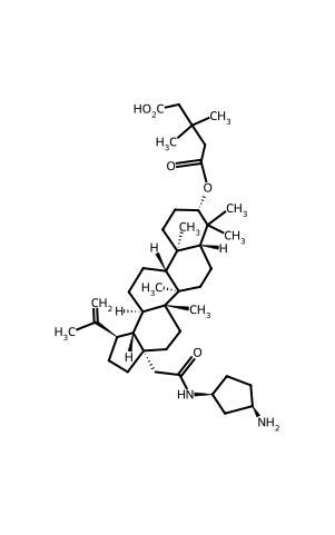 C=C(C)[C@@H]1CC[C@]2(CC(=O)N[C@H]3CC[C@@H](N)C3)CC[C@]3(C)[C@H](CC[C@@H]4[C@@]5(C)CC[C@H](OC(=O)CC(C)(C)CC(=O)O)C(C)(C)[C@@H]5CC[C@]43C)[C@@H]12